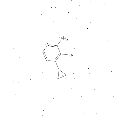 N#Cc1c(C2CC2)ccnc1N